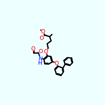 COC(=O)C(C)CCCOc1cc(Oc2ccccc2-c2ccccc2)ccc1NC(=O)C=O